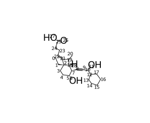 CC[C@]12CC[C@@H](O)[C@H](C#CC(O)C3CCCCC3)[C@H]1C(C)C2=CCCC(=O)O